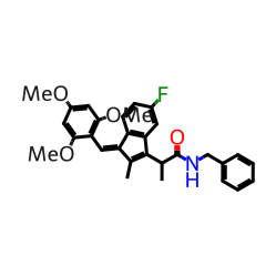 COc1cc(OC)c(C=C2C(C)=C(C(C)C(=O)NCc3ccccc3)c3cc(F)ccc32)c(OC)c1